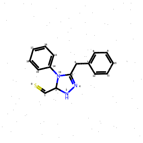 S=CC1NN=C(Cc2ccccc2)N1c1ccccc1